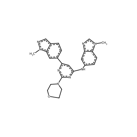 Cn1cnc2cc(Nc3cc(-c4ccc5cnn(C)c5c4)nc(N4CCOCC4)n3)ccc21